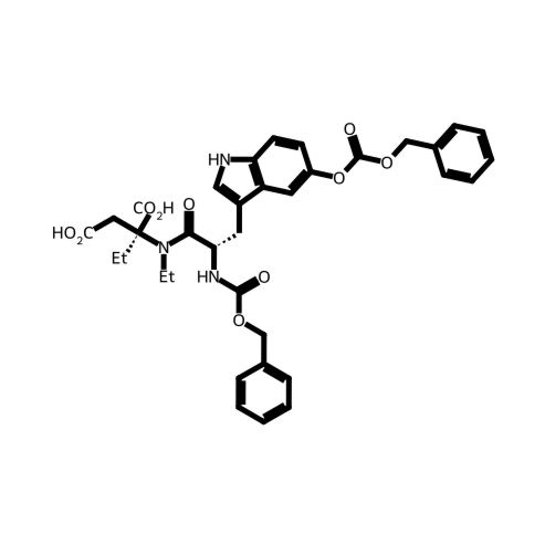 CCN(C(=O)[C@H](Cc1c[nH]c2ccc(OC(=O)OCc3ccccc3)cc12)NC(=O)OCc1ccccc1)[C@@](CC)(CC(=O)O)C(=O)O